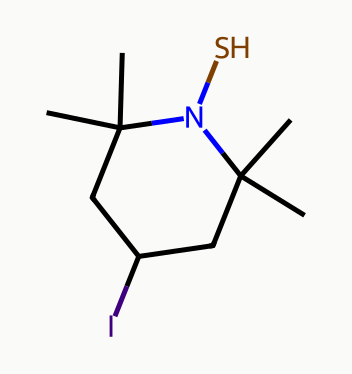 CC1(C)CC(I)CC(C)(C)N1S